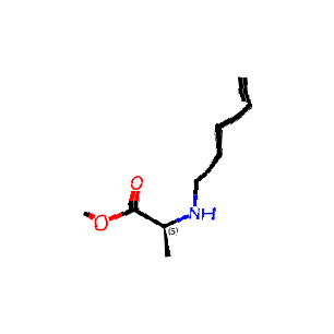 C=CCCCN[C@@H](C)C(=O)OC